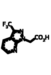 O=C(O)Cn1nc(C(F)(F)F)c2cccnc21